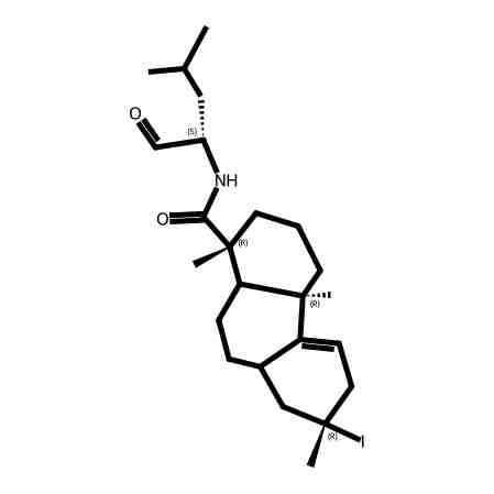 CC(C)C[C@@H](C=O)NC(=O)[C@]1(C)CCC[C@@]2(C)C3=CC[C@](C)(I)CC3CCC12